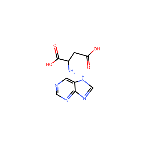 NC(CC(=O)O)C(=O)O.c1ncc2[nH]cnc2n1